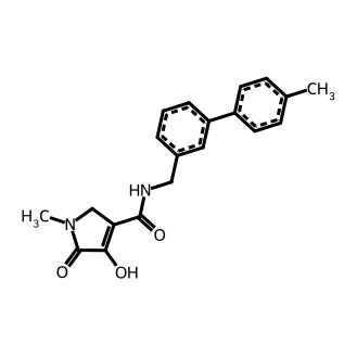 Cc1ccc(-c2cccc(CNC(=O)C3=C(O)C(=O)N(C)C3)c2)cc1